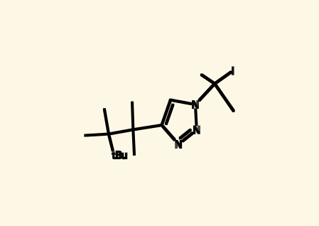 CC(C)(I)n1cc(C(C)(C)C(C)(C)C(C)(C)C)nn1